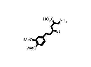 CCC(CCc1ccc(OC)c(OC)c1)CC(CN)C(=O)O